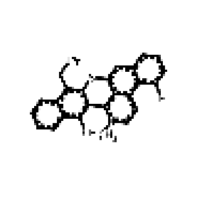 Cc1c2c(c(CC(C)C)c3ccccc13)Sc1cc3cccc(F)c3c3cc[n+](C)c-2c13